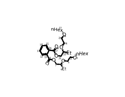 CCCCCCOCCOC(CC)COC(=O)c1ccccc1C(=O)OCC(CC)OCCOCCCCCC